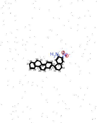 Nc1cc2c(cc1[N+](=O)[O-])CCC=C2c1ccc2c3c(ccc2c1)C1=C(CCC=C1)CC3